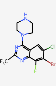 Fc1c(Br)c(Cl)cc2c(N3CCNCC3)nc(C(F)(F)F)nc12